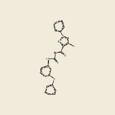 Cc1nn(-c2ccccc2)nc1C(=O)NC(=S)Nc1cccc(Oc2ccccc2)c1